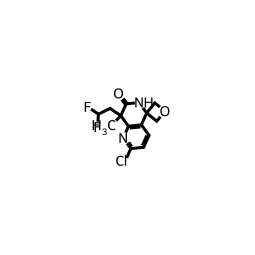 CC1(CC(F)F)C(=O)NC2(COC2)c2ccc(Cl)nc21